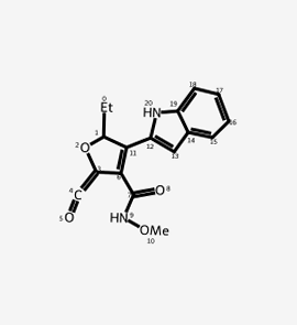 CCC1OC(=C=O)C(C(=O)NOC)=C1c1cc2ccccc2[nH]1